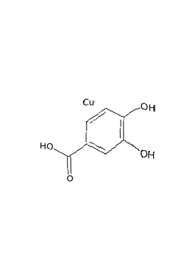 O=C(O)c1ccc(O)c(O)c1.[Cu]